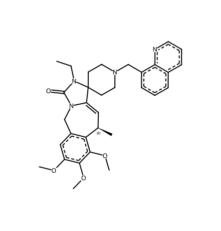 CCN1C(=O)N2Cc3cc(OC)c(OC)c(OC)c3[C@H](C)C=C2C12CCN(Cc1cccc3cccnc13)CC2